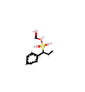 CCC(c1ccccc1)S(=O)(=O)OC=O